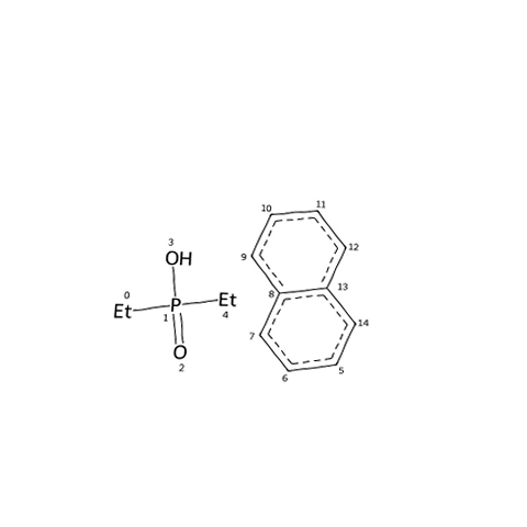 CCP(=O)(O)CC.c1ccc2ccccc2c1